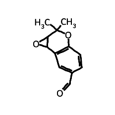 CC1(C)Oc2ccc(C=O)cc2C2OC21